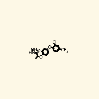 CC(Oc1ccc(Oc2ccc(C(F)(F)F)cc2Cl)cc1)C(=O)NN